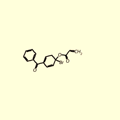 C=CC(=O)OC1(Br)C=CC(C(=O)c2ccccc2)=CC1